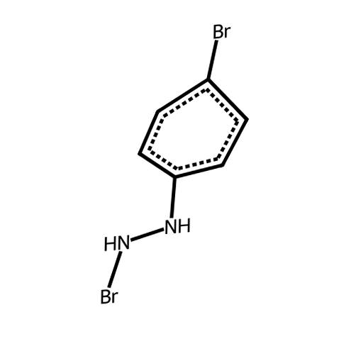 BrNNc1ccc(Br)cc1